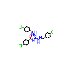 O=C(N=C(N/N=C/c1ccc(Cl)cc1)N/N=C/c1ccc(Cl)cc1)c1ccc(Cl)cc1